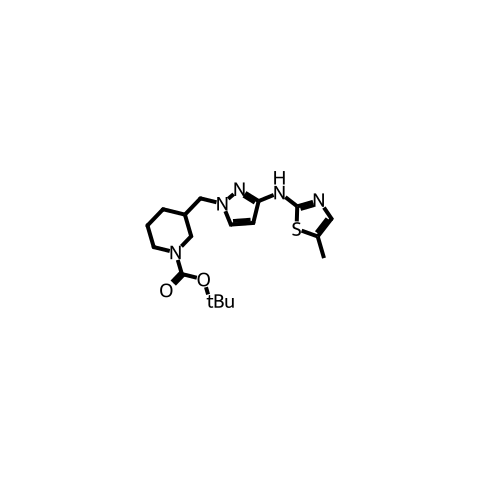 Cc1cnc(Nc2ccn(CC3CCCN(C(=O)OC(C)(C)C)C3)n2)s1